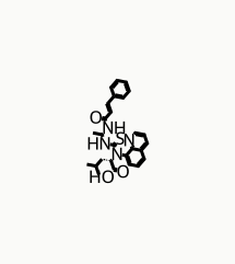 CC(C)C[C@@H](C(=O)O)N(C(=S)NC(C)NC(=O)/C=C/c1ccccc1)c1cccc2cccnc12